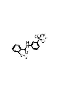 Nc1ccccc1C(=O)Nc1cccc(S(=O)(=O)C(F)(F)F)c1